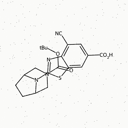 CC(C)(C)OC(=O)N1CC2CCC(C1)N2c1nc2c(C#N)cc(C(=O)O)cc2s1